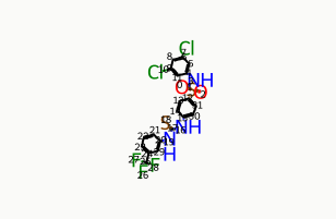 O=S(=O)(Nc1cc(Cl)cc(Cl)c1)c1ccc(NC(=S)Nc2cccc(C(F)(F)F)c2)cc1